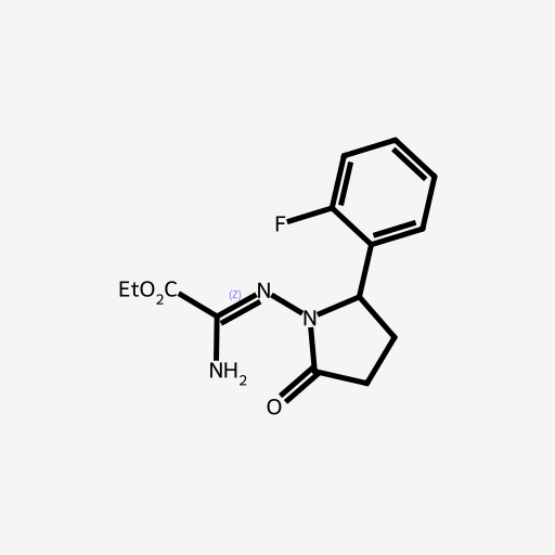 CCOC(=O)/C(N)=N/N1C(=O)CCC1c1ccccc1F